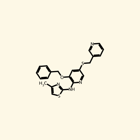 Cc1csc(Nc2ncc(SCc3cccnc3)cc2OCc2ccccc2)n1